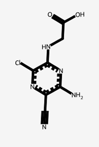 N#Cc1nc(Cl)c(NCC(=O)O)nc1N